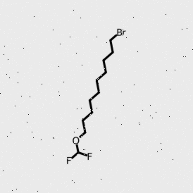 FC(F)OCCCCCCCCCCBr